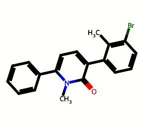 Cc1c(Br)cccc1-c1ccc(-c2ccccc2)n(C)c1=O